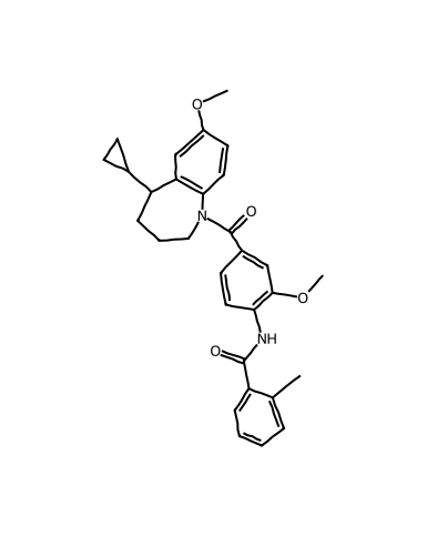 COc1ccc2c(c1)C(C1CC1)CCCN2C(=O)c1ccc(NC(=O)c2ccccc2C)c(OC)c1